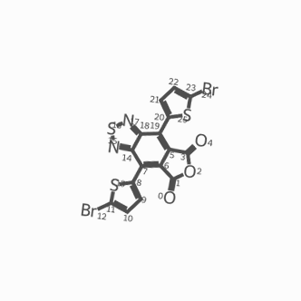 O=C1OC(=O)c2c1c(-c1ccc(Br)s1)c1nsnc1c2-c1ccc(Br)s1